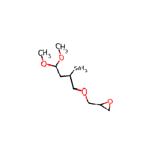 COC(CC([SiH3])COCC1CO1)OC